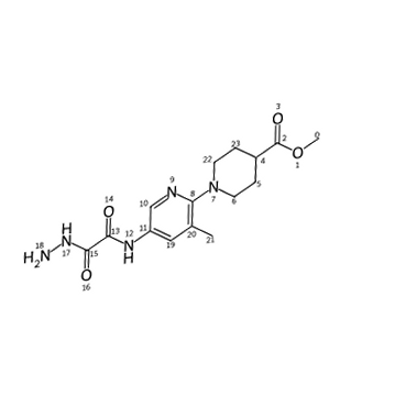 COC(=O)C1CCN(c2ncc(NC(=O)C(=O)NN)cc2C)CC1